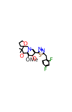 COc1c2n(cc(-c3nnc(Cc4ccc(F)cc4F)s3)c1=O)CC1(CCCO1)C(C)(C)C2=O